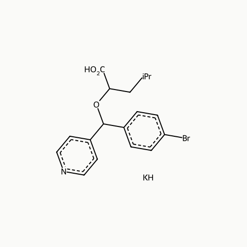 CC(C)CC(OC(c1ccncc1)c1ccc(Br)cc1)C(=O)O.[KH]